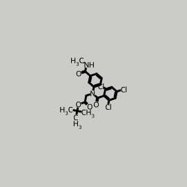 CNC(=O)c1cccc(N(CC(=O)OC(C)(C)C)C(=O)c2c(Cl)cc(Cl)cc2Cl)c1